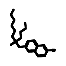 CCCCCCC(C)(CCCC)Cc1ccc2cc(Br)ccc2c1